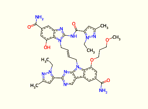 CCn1nc(C)cc1C(=O)Nc1nc2cc(C(N)=O)cc(O)c2n1CC=CCn1c2nc(-c3cc(C)nn3CC)ncc2c2cc(C(N)=O)cc(OCCCOC)c21